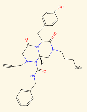 C#CCN1CC(=O)N2C(Cc3ccc(O)cc3)C(=O)N(CCCOC)C[C@@H]2N1C(=O)NCc1ccccc1